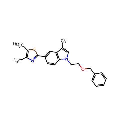 Cc1nc(-c2ccc3c(c2)c(C#N)cn3CCOCc2ccccc2)sc1C(=O)O